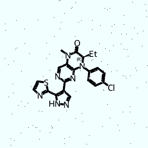 CC[C@@H]1C(=O)N(C)c2cnc(-c3cn[nH]c3-c3nccs3)nc2N1c1ccc(Cl)cc1